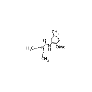 C=CCN(CC=C)C(=O)Nc1cc(C)ccc1OC